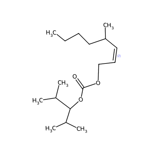 CCCCC(C)/C=C\COC(=O)OC(C(C)C)C(C)C